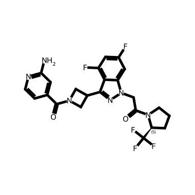 Nc1cc(C(=O)N2CC(c3nn(CC(=O)N4CCC[C@H]4C(F)(F)F)c4cc(F)cc(F)c34)C2)ccn1